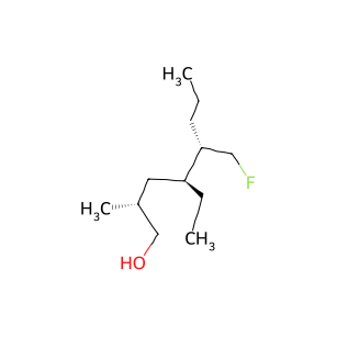 CCC[C@H](CF)[C@@H](CC)C[C@@H](C)CO